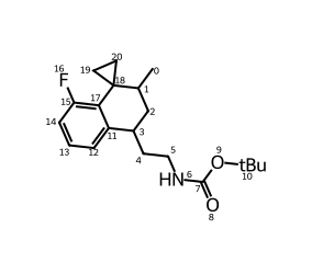 CC1CC(CCNC(=O)OC(C)(C)C)c2cccc(F)c2C12CC2